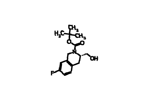 CC(C)(C)OC(=O)N1Cc2cc(F)ccc2C[C@H]1CO